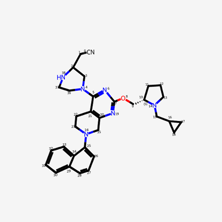 N#CCC1CN(c2nc(OC[C@@H]3CCCN3CC3CC3)nc3c2CCN(c2cccc4ccccc24)C3)CCN1